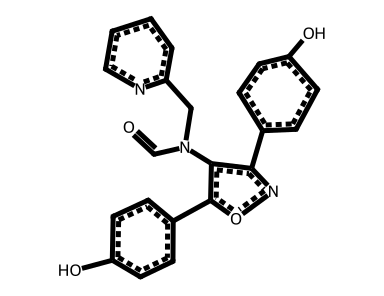 O=CN(Cc1ccccn1)c1c(-c2ccc(O)cc2)noc1-c1ccc(O)cc1